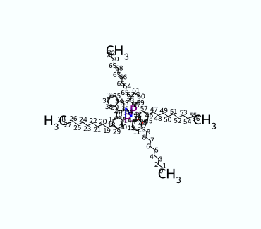 CCCCCCCCCCc1ccc(P(c2ccc(CCCCCCCCCC)cc2)N(C2Cc3ccccc3C2)P(c2cccc(CCCCCCCCCC)c2)c2cccc(CCCCCCCCCC)c2)cc1